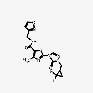 Cc1nc(-n2cnn(CC3CC3(F)F)c2=O)sc1C(=O)NCc1ccon1